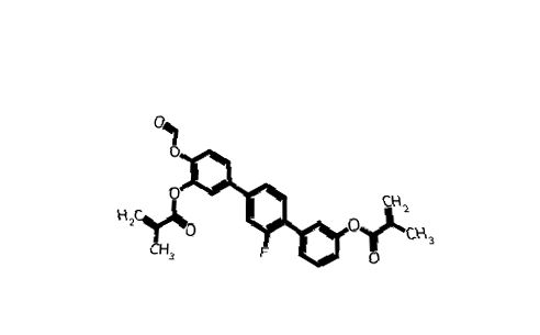 C=C(C)C(=O)Oc1cccc(-c2ccc(-c3ccc(OC=O)c(OC(=O)C(=C)C)c3)cc2F)c1